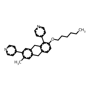 CCCCCCOc1ccc2c(c1-c1ccncc1)Cc1cc(-c3ccncc3)c(C)cc1C2